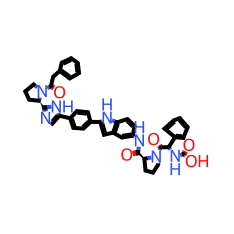 O=C(O)NC(C(=O)N1CCC[C@H]1C(=O)Nc1ccc2[nH]c(-c3ccc(-c4cnc([C@@H]5CCCN5C(=O)Cc5ccccc5)[nH]4)cc3)cc2c1)c1ccccc1